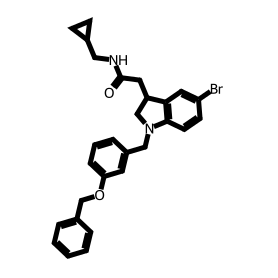 O=C(CC1CN(Cc2cccc(OCc3ccccc3)c2)c2ccc(Br)cc21)NCC1CC1